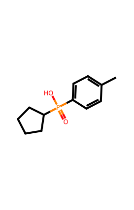 Cc1ccc(P(=O)(O)C2CCCC2)cc1